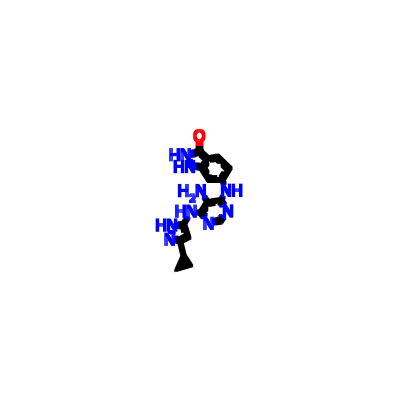 Nc1c(Nc2ccc3c(=O)[nH][nH]c3c2)ncnc1Nc1cc(C2CC2)n[nH]1